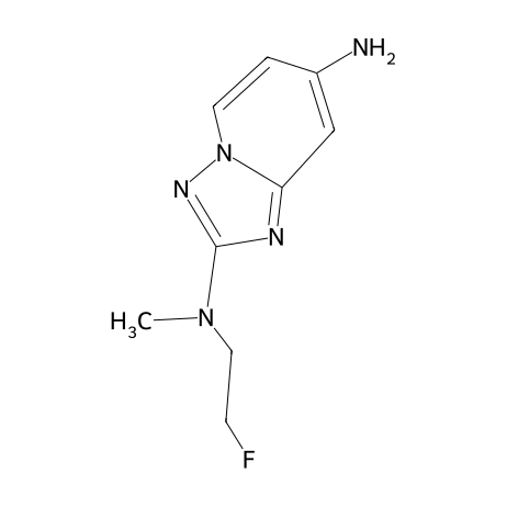 CN(CCF)c1nc2cc(N)ccn2n1